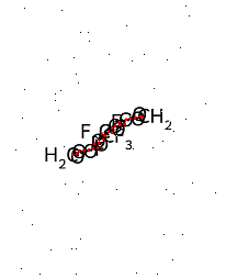 C=CC(=O)OCCCCOc1ccc(C(=O)Oc2ccc(C(c3ccc(OC(=O)c4ccc(OCCCCOC(=O)C=C)cc4F)cc3)(C(F)(F)F)C(F)(F)F)cc2)c(F)c1